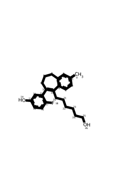 Cc1ccc2c(c1)CCCC(c1cc(O)ccc1F)=C2CCCCCCO